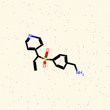 C=CC(c1ccncc1)S(=O)(=O)c1ccc(CN)cc1